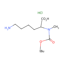 CN(C(=O)OC(C)(C)C)C(CCCCN)C(=O)O.Cl